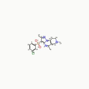 Cc1nc2c(S(=O)(=O)c3cccc(Cl)c3)c(C)nn2c2c1CN(C)CC2